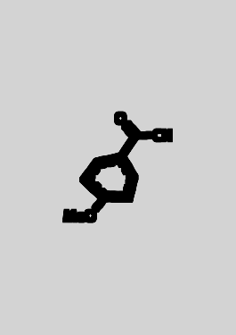 COc1ccc(C(=O)C#N)cc1